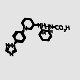 O=C(O)N[C@@H]1CCCC[C@H]1NC1CCCN(c2ccc(-n3cncn3)cc2)C1